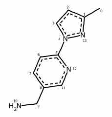 Cc1ccn(-c2ccc(CN)cn2)n1